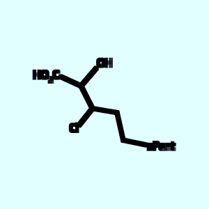 CCCCCCCC(Cl)C(O)C(=O)O